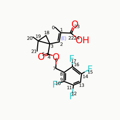 C/C(=C\C1(C(=O)OCc2c(F)c(F)cc(F)c2F)CC1(C)C)C(=O)O